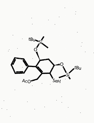 CC(=O)OCC1=C(c2ccccc2)[C@@H](O[Si](C)(C)C(C)(C)C)C[C@@H](O[Si](C)(C)C(C)(C)C)C1[SeH]